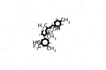 CC[C@]1(C)[C@@H]([C@H](C)CCC2(O)CCC(C)CC2)CC[C@H]1C1CC[C@H](C)C[C@](O)(C(F)(F)F)C1